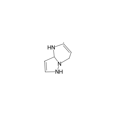 [C]1=CCN2NC=CC2N1